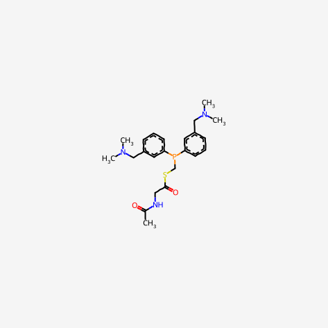 CC(=O)NCC(=O)SCP(c1cccc(CN(C)C)c1)c1cccc(CN(C)C)c1